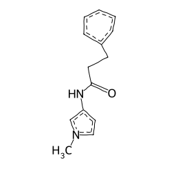 Cn1ccc(NC(=O)CCc2ccccc2)c1